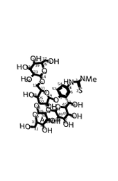 CNC(=S)Nc1ccc(OC2OC(COC3OC(CO)C(O)C(O)C3O)C(O)C(OC3OC(CO)C(O)C(O)C3OC3OC(CO)C(O)C(O)C3NC(C)=O)C2O)cc1